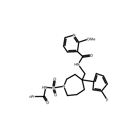 CCCC(=O)NS(=O)(=O)N1CCCC(CNC(=O)c2cccnc2OC)(c2cccc(F)c2)CC1